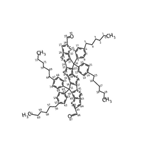 CCCCCCc1ccc(C2(c3ccc(CCCCCC)cc3)c3c(sc4cc(C=O)sc34)-c3sc4c5c(sc4c32)-c2sc3cc(C=O)sc3c2C5(c2ccc(CCCCCC)cc2)c2ccc(CCCCCC)cc2)cc1